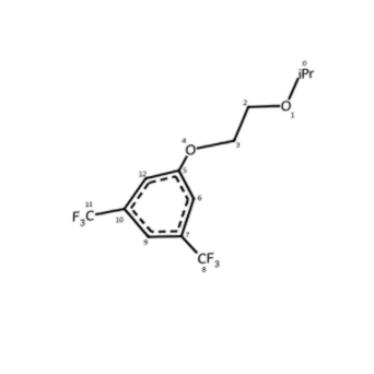 CC(C)OCCOc1cc(C(F)(F)F)cc(C(F)(F)F)c1